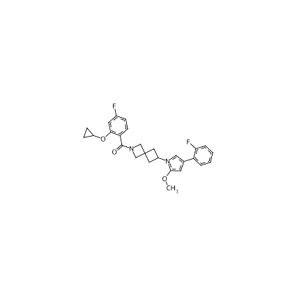 COc1cc(-c2ccccc2F)cn1C1CC2(C1)CN(C(=O)c1ccc(F)cc1OC1CC1)C2